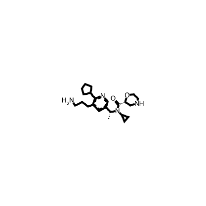 C[C@H](c1cnc(C2CCCC2)c(CCCN)c1)N(C(=O)[C@H]1CNCCO1)C1CC1